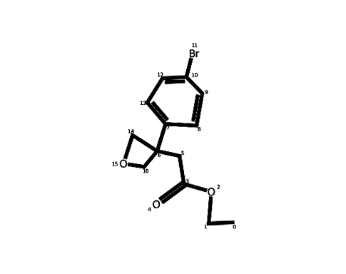 CCOC(=O)CC1(c2ccc(Br)cc2)COC1